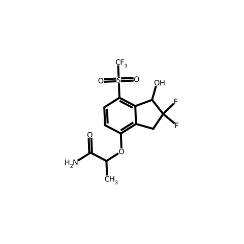 CC(Oc1ccc(S(=O)(=O)C(F)(F)F)c2c1CC(F)(F)C2O)C(N)=O